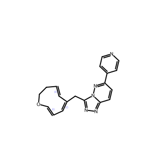 C1=C(Cc2nnc3ccc(-c4ccncc4)nn23)\C=C\CCO/C=C/1